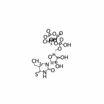 CCc1cn([C@@H]2O[C@H](COP(=O)(O)OP(=O)(O)OP(=O)(O)OC)[C@@H](O)[C@H]2O)c(=O)[nH]c1=S